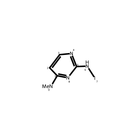 CNc1ccnc(NI)n1